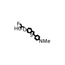 CNc1ccc(-c2cc3ccc(OCC(O)CF)cc3s2)cc1